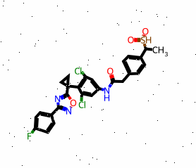 CC(c1ccc(CC(=O)Nc2cc(Cl)c(C3(c4nc(-c5ccc(F)cc5)no4)CC3)c(Cl)c2)cc1)[SH](=O)=O